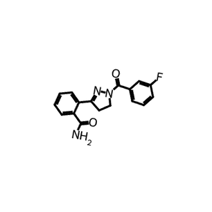 NC(=O)c1ccccc1C1=NN(C(=O)c2cccc(F)c2)CC1